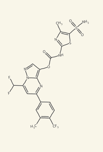 Cc1cc(-c2cc(C(F)F)n3ncc(OC(=O)Nc4nc(C)c(S(N)(=O)=O)s4)c3n2)ccc1C(F)(F)F